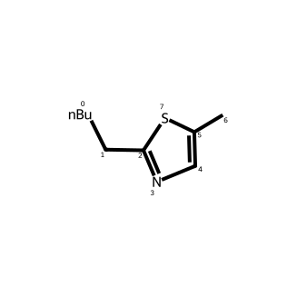 CCCCCc1ncc(C)s1